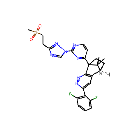 CC1(C)[C@H]2CCC1(c1ccnc(-n3cnc(CCS(C)(=O)=O)n3)n1)c1nnc(-c3c(F)cccc3F)cc12